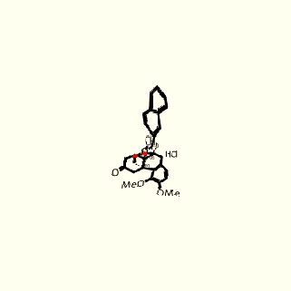 COc1ccc2c(c1OC)[C@]13CCN(C)[C@H](C2)[C@]1(OCc1ccc2ccccc2c1)CCC(=O)C3.Cl